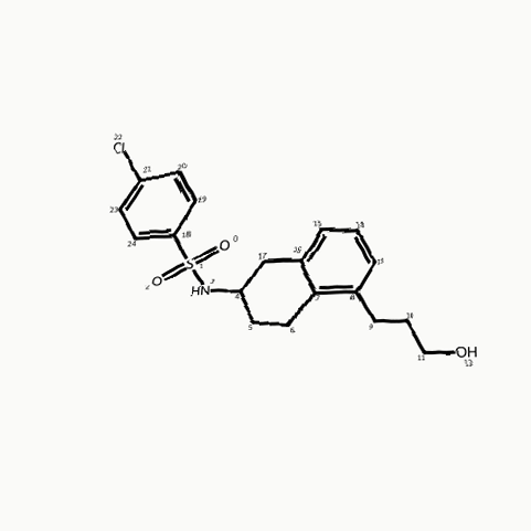 O=S(=O)(NC1CCc2c(CCCO)cccc2C1)c1ccc(Cl)cc1